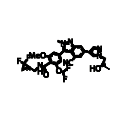 COc1cc(-c2c3c(C#N)cc(-c4cnn(C[C@H](C)O)c4)cc3nn2C)cc(OC(F)F)c1C(=O)NC[C@H]1CC1(F)F